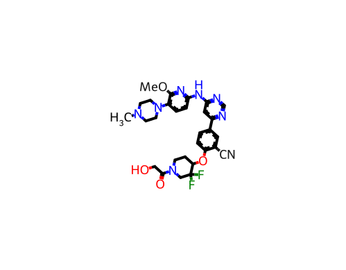 COc1nc(Nc2cc(-c3ccc(OC4CCN(C(=O)CO)CC4(F)F)c(C#N)c3)ncn2)ccc1N1CCN(C)CC1